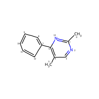 Cc1n[c]c(C)c(-c2ccccc2)n1